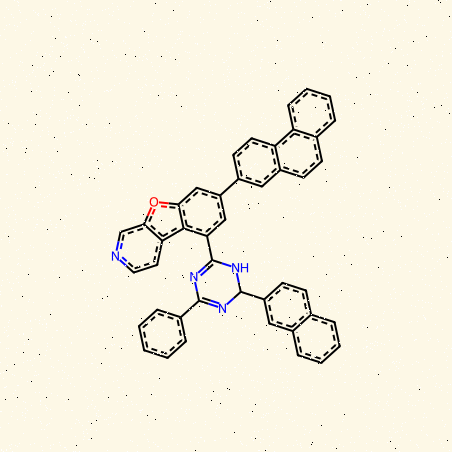 c1ccc(C2=NC(c3ccc4ccccc4c3)NC(c3cc(-c4ccc5c(ccc6ccccc65)c4)cc4oc5cnccc5c34)=N2)cc1